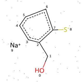 OCc1ccccc1[S-].[Na+]